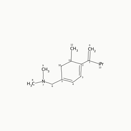 C=C(C1=CC=C(CN(C)C)CC1C)C(C)C